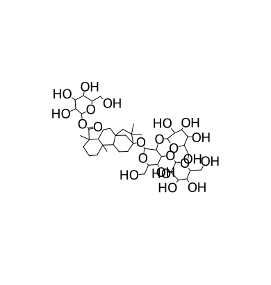 CC1(C(=O)OC2OC(CO)C(O)C(O)C2O)CCCC2(C)C3CCC4(OC5OC(CO)C(O)C(OC6OC(CO)C(O)C(O)C6O)C5OC5OC(CO)C(O)C(O)C5O)CC3(CCC12)CC4(C)C